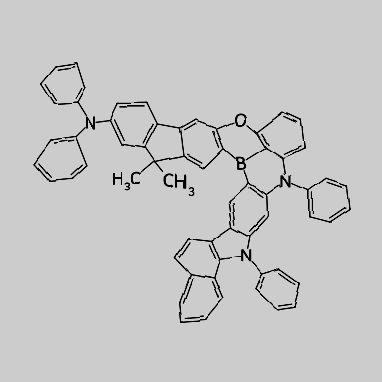 CC1(C)c2cc(N(c3ccccc3)c3ccccc3)ccc2-c2cc3c(cc21)B1c2cc4c5ccc6ccccc6c5n(-c5ccccc5)c4cc2N(c2ccccc2)c2cccc(c21)O3